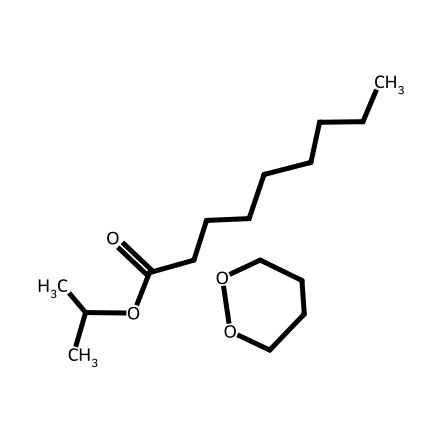 C1CCOOC1.CCCCCCCCC(=O)OC(C)C